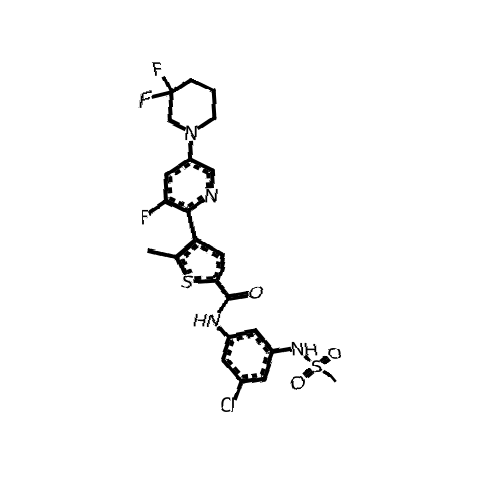 Cc1sc(C(=O)Nc2cc(Cl)cc(NS(C)(=O)=O)c2)cc1-c1ncc(N2CCCC(F)(F)C2)cc1F